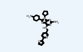 Nc1nc(NCc2ccc(-c3ccco3)nc2)c2nc(C3CCC(N)CC3)n(C3CCCC3)c2n1